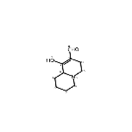 O=CC1=C(O)C2CCCCN2CC1